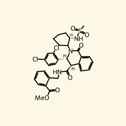 COC(=O)c1ccccc1CNC(=O)[C@@H]1c2ccccc2C(=O)N(C2CCCC[C@@H]2NS(C)(=O)=O)[C@H]1c1ccc(Cl)cc1Cl